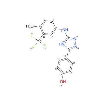 Cc1ccc(Nc2nnc(-c3ccc(O)cc3)[nH]2)cc1C(F)(F)F